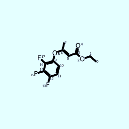 CCOC(=O)C=C(C)Oc1ccc(F)c(F)c1F